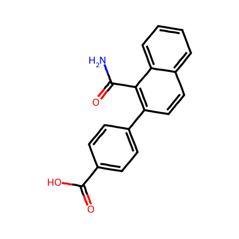 NC(=O)c1c(-c2ccc(C(=O)O)cc2)ccc2ccccc12